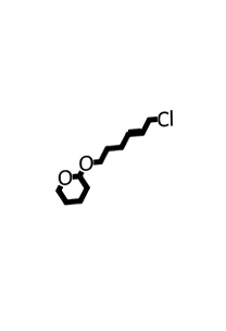 ClCC=CCCCOC1CCCCO1